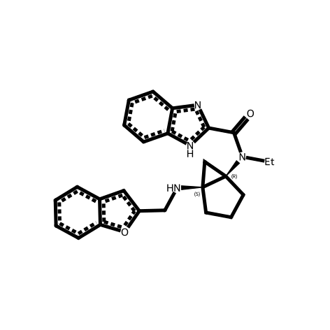 CCN(C(=O)c1nc2ccccc2[nH]1)[C@@]12CCC[C@]1(NCc1cc3ccccc3o1)C2